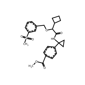 COC(=O)c1ccc(C2(NC(=O)C(OCc3cccc(S(C)(=O)=O)c3)C3CCC3)CC2)cc1